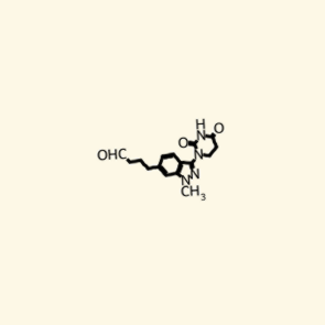 Cn1nc(N2CCC(=O)NC2=O)c2ccc(CCCC=O)cc21